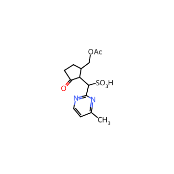 CC(=O)OCC1CCC(=O)C1C(c1nccc(C)n1)S(=O)(=O)O